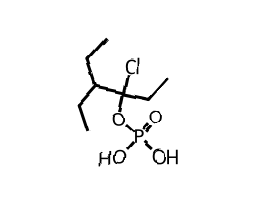 CCC(CC)C(Cl)(CC)OP(=O)(O)O